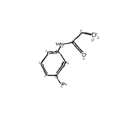 CC(C)c1cccc(NC(=O)CC(F)(F)F)c1